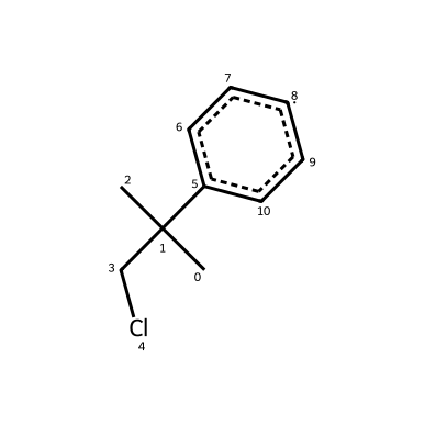 CC(C)(CCl)c1cc[c]cc1